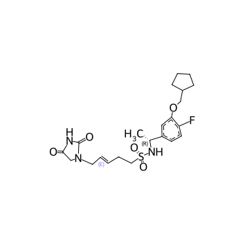 C[C@@H](NS(=O)(=O)CC/C=C/CN1CC(=O)NC1=O)c1ccc(F)c(OCC2CCCC2)c1